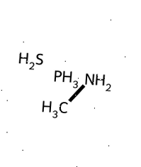 CN.P.S